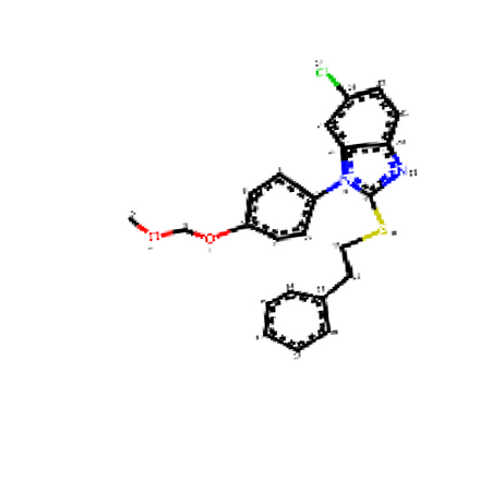 COCOc1ccc(-n2c(SCCc3ccccc3)nc3ccc(Cl)cc32)cc1